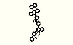 c1ccc2c(-c3c4ccccc4c(-c4ccc5c(c4)oc4cc(-c6cc7c8ccc9c%10ccccc%10sc9c8oc7c7ccccc67)ccc45)c4ccccc34)cccc2c1